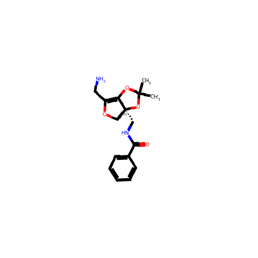 CC1(C)OC2=C(CN)OC[C@]2(CNC(=O)c2ccccc2)O1